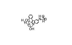 COc1ccccc1-c1c(C)n(CC(=O)O)c2ccc(NC[SH](=O)=O)cc12